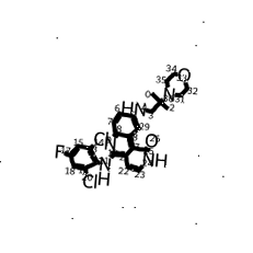 CC(C)(CNc1ccc2nc(Nc3c(Cl)cc(F)cc3Cl)c3cc[nH]c(=O)c3c2c1)N1CCOCC1